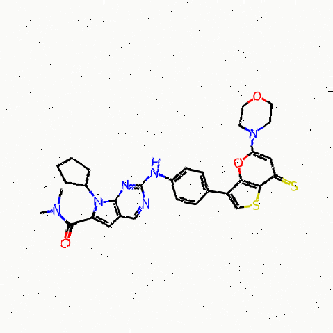 CN(C)C(=O)c1cc2cnc(Nc3ccc(-c4csc5c(=S)cc(N6CCOCC6)oc45)cc3)nc2n1C1CCCC1